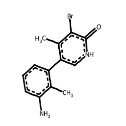 Cc1c(N)cccc1-c1c[nH]c(=O)c(Br)c1C